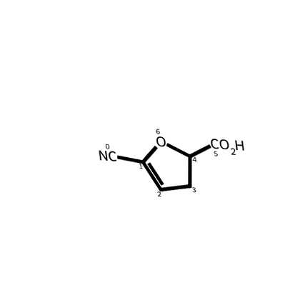 N#CC1=CCC(C(=O)O)O1